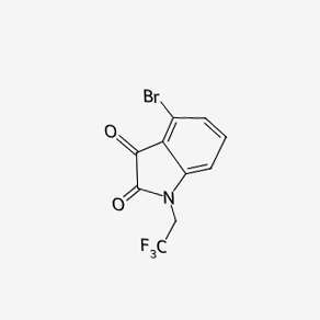 O=C1C(=O)N(CC(F)(F)F)c2cccc(Br)c21